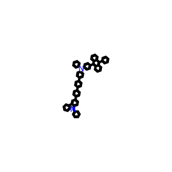 c1ccc(-c2c3ccccc3c(-c3ccc(N(c4ccccc4)c4ccc(-c5ccc(-c6ccc(-c7ccc8c(c7)c7ccccc7n8-c7ccccc7)cc6)cc5)cc4)cc3)c3ccccc23)cc1